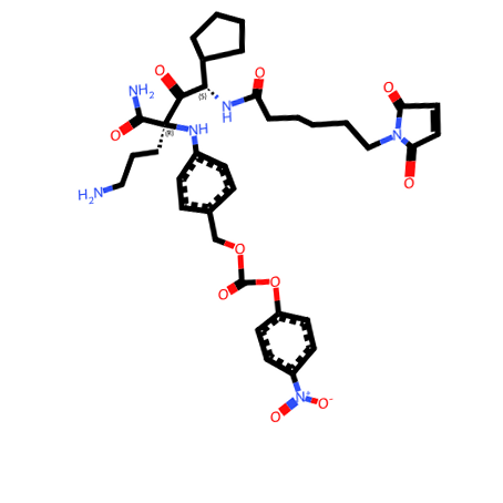 NCCC[C@](Nc1ccc(COC(=O)Oc2ccc([N+](=O)[O-])cc2)cc1)(C(N)=O)C(=O)[C@@H](NC(=O)CCCCCN1C(=O)C=CC1=O)C1CCCC1